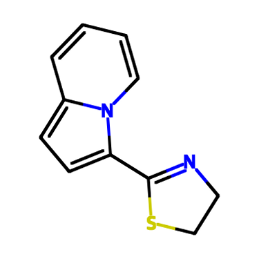 c1ccn2c(C3=NCCS3)ccc2c1